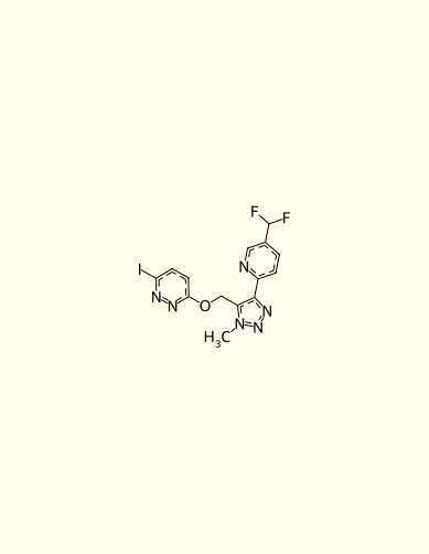 Cn1nnc(-c2ccc(C(F)F)cn2)c1COc1ccc(I)nn1